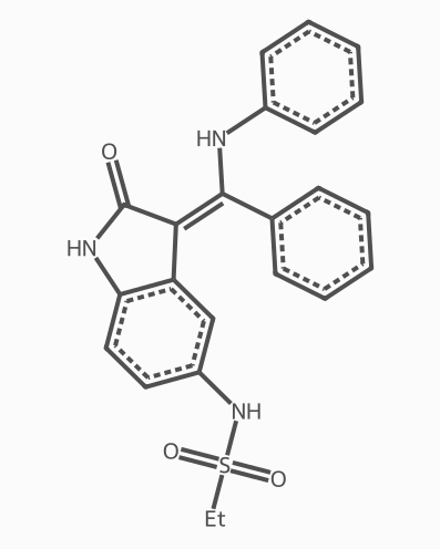 CCS(=O)(=O)Nc1ccc2c(c1)/C(=C(/Nc1ccccc1)c1ccccc1)C(=O)N2